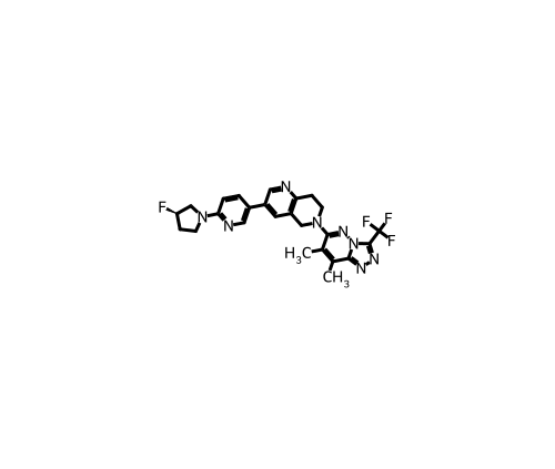 Cc1c(N2CCc3ncc(-c4ccc(N5CC[C@@H](F)C5)nc4)cc3C2)nn2c(C(F)(F)F)nnc2c1C